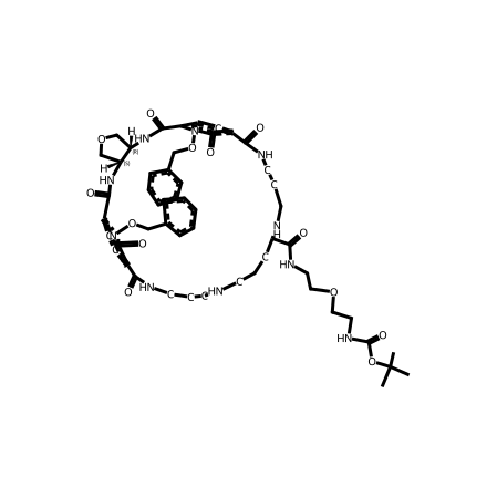 CC(C)(C)OC(=O)NCCOCCNC(=O)C1CCCNCCCNC(=O)c2ccc(n(OCc3ccccc3)c2=O)C(=O)N[C@@H]2COC[C@@H]2NC(=O)c2ccc(c(=O)n2OCc2ccccc2)C(=O)NCCCN1